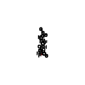 COCCOc1cc2ncc(F)c(Oc3ccc(NC(=O)c4ccc(C(F)(F)F)n(-c5ccc(OC)cc5C)c4=O)cc3F)c2cc1OC